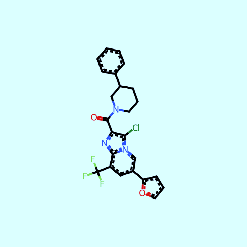 O=C(c1nc2c(C(F)(F)F)cc(-c3ccco3)cn2c1Cl)N1CCCC(c2ccccc2)C1